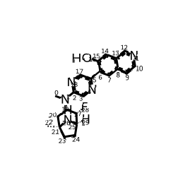 CN(c1cnc(-c2cc3ccncc3cc2O)cn1)[C@H]1C[C@]2(C)CC[C@@H](N2)[C@H]1F